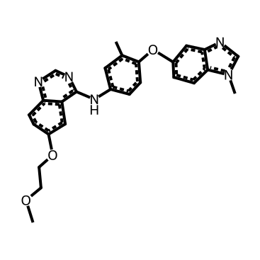 COCCOc1ccc2ncnc(Nc3ccc(Oc4ccc5c(c4)ncn5C)c(C)c3)c2c1